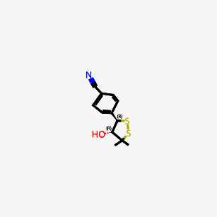 CC1(C)SS[C@H](c2ccc(C#N)cc2)[C@H]1O